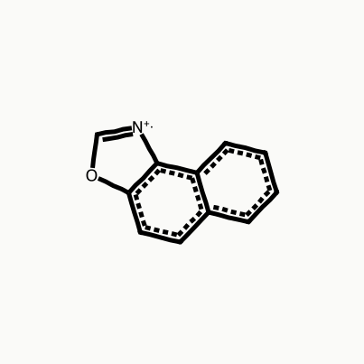 C1=[N+]c2c(ccc3ccccc23)O1